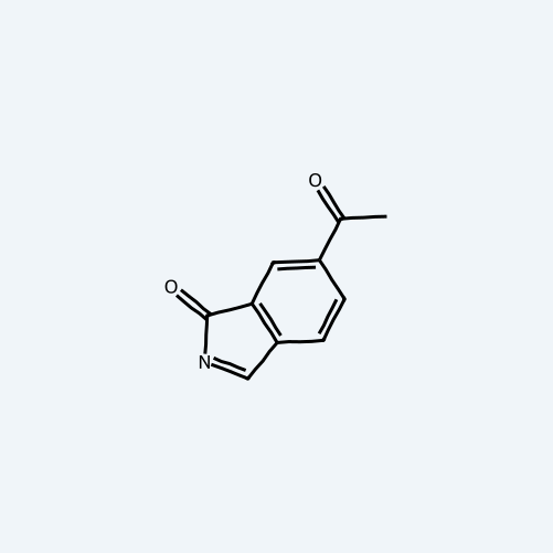 CC(=O)c1ccc2c(c1)C(=O)N=C2